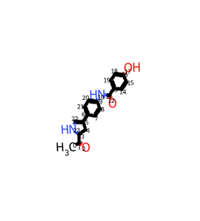 CC(=O)C1CC(c2ccc(NC(=O)c3ccc(O)cc3)cc2)=CN1